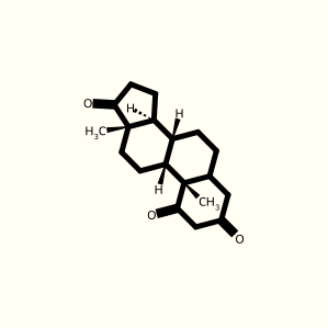 C[C@]12C(=O)CC(=O)CC1CC[C@@H]1[C@H]2CC[C@]2(C)C(=O)CC[C@@H]12